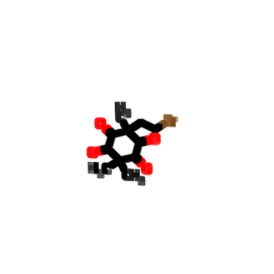 CC1(C)C(=O)C(=O)C(C)(CCBr)C(=O)C1=O